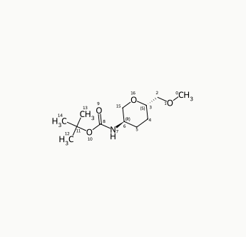 COC[C@@H]1CC[C@@H](NC(=O)OC(C)(C)C)CO1